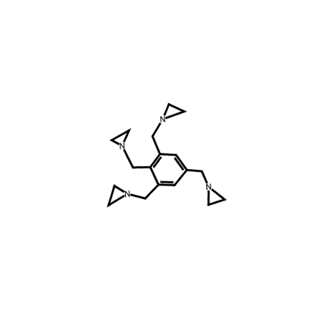 c1c(CN2CC2)cc(CN2CC2)c(CN2CC2)c1CN1CC1